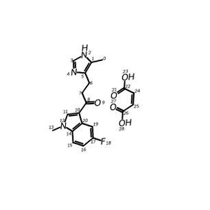 Cc1[nH]cnc1CCC(=O)c1cn(C)c2ccc(F)cc12.O=C(O)/C=C\C(=O)O